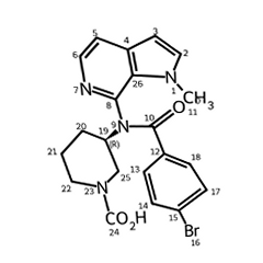 Cn1ccc2ccnc(N(C(=O)c3ccc(Br)cc3)[C@@H]3CCCN(C(=O)O)C3)c21